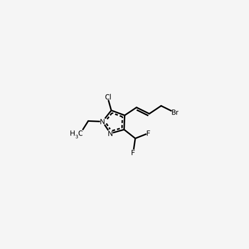 CCn1nc(C(F)F)c(C=CCBr)c1Cl